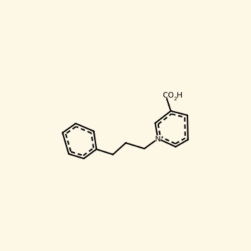 O=C(O)c1ccc[n+](CCCc2ccccc2)c1